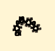 N#Cc1ccc(OC2=NO[C@@H](c3ccc(Oc4ccccc4)cc3)C2)cc1